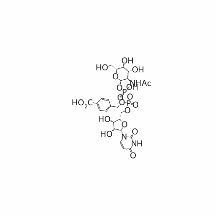 CC(=O)N[C@H]1[C@@H](OP(=O)(O)OP(=O)(OCc2ccc(C(=O)O)cc2)OC[C@@H]2O[C@H](n3ccc(=O)[nH]c3=O)[C@@H](O)[C@H]2O)O[C@H](CO)[C@@H](O)[C@@H]1O